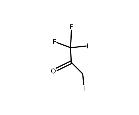 O=C(CI)C(F)(F)I